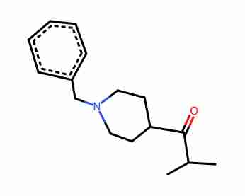 CC(C)C(=O)C1CCN(Cc2ccccc2)CC1